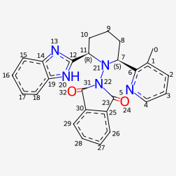 Cc1cccnc1[C@@H]1CCC[C@H](c2nc3ccccc3[nH]2)N1N1C(=O)c2ccccc2C1=O